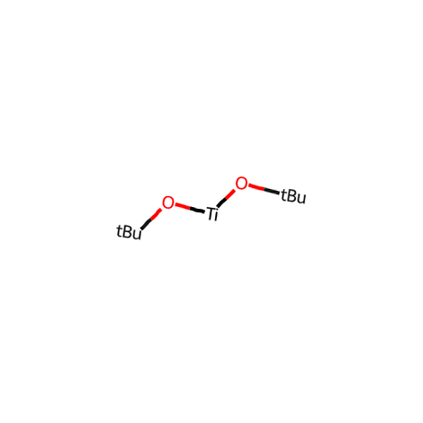 CC(C)(C)[O][Ti][O]C(C)(C)C